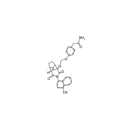 C[C@]12CC[C@](CCOc3ccc(CC(N)=O)cc3)(O1)[C@@H]1C(=O)N(c3ccc(C#N)c4ccccc34)C(=O)[C@@H]12